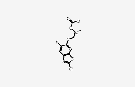 C[C@H](COc1nc2sc(Cl)nc2cc1F)OC(=O)Cl